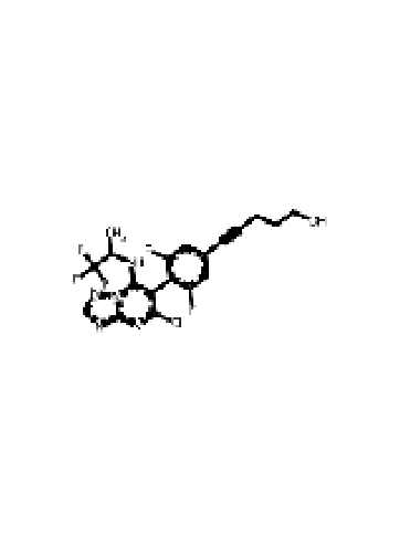 CC(Nc1c(-c2c(F)cc(C#CCCCO)cc2F)c(Cl)nc2ncnn12)C(F)(F)F